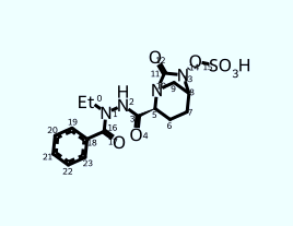 CCN(NC(=O)[C@@H]1CCC2CN1C(=O)N2OS(=O)(=O)O)C(=O)c1ccccc1